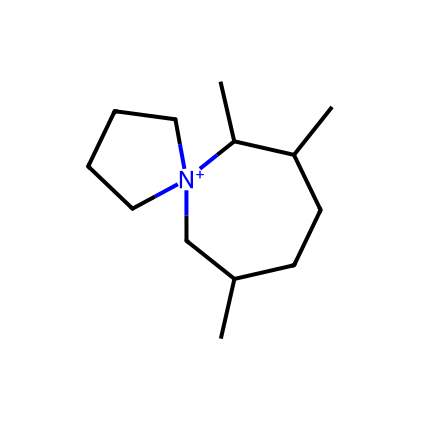 CC1CCC(C)C(C)[N+]2(CCCC2)C1